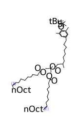 CCCCCCCC/C=C\CCCCCCCC(=O)OCC(COC(=O)CCCCCCC/C=C\CCCCCCCC)OC(=O)CC(C)CCCCCCCc1cc(C)c(O[Si](C)(C)C(C)(C)C)c(C)c1